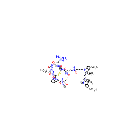 CCNC(=O)[C@@H]1CSCC(=O)N[C@@H](CCCCNC(=O)CCCCCN2/C(=C/C=C/C=C/C3=[N+](CC)c4ccc(S(=O)(=O)O)cc4C3(C)C)C(C)(C)c3cc(S(=O)(=O)O)ccc32)C(=O)N[C@H]2CSSC[C@H](NC(=O)[C@H](CC(=O)O)NC(=O)CNC(=O)[C@H](CCCNC(=N)N)NC2=O)C(=O)N[C@@H](Cc2ccccc2)C(=O)N1